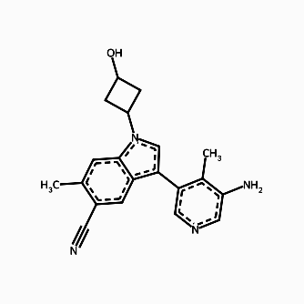 Cc1cc2c(cc1C#N)c(-c1cncc(N)c1C)cn2C1CC(O)C1